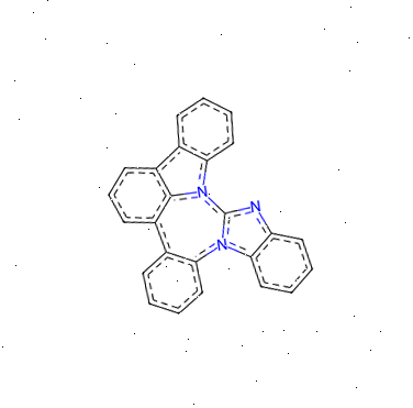 c1ccc2c(c1)nc1n2c2ccccc2c2cccc3c4ccccc4n1c23